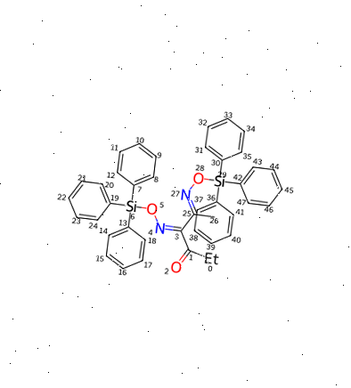 CCC(=O)C(=NO[Si](c1ccccc1)(c1ccccc1)c1ccccc1)C(C)=NO[Si](c1ccccc1)(c1ccccc1)c1ccccc1